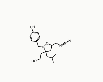 CC(C)CC1(CCO)CC(CN=[N+]=[N-])ON1Cc1ccc(O)cc1